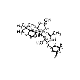 CC(=O)N[C@@H](Cc1cc(F)cc(F)c1)[C@H](O)CNC1(c2cccc(C(C)(C)C)c2)CCC(O)CC1